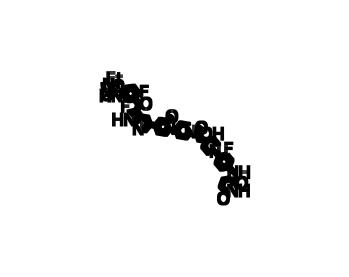 CCN(C)S(=O)(=O)Nc1ccc(F)c(C(=O)c2c[nH]c3ncc(-c4ccn(C5CCN(C(=O)CC6(O)CCN(c7ccc(NC8CCC(=O)NC8=O)cc7F)CC6)CC5)c(=O)c4)cc23)c1F